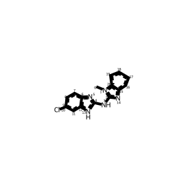 Cn1c(Nc2nc3ccc(Cl)cc3[nH]2)nc2ccccc21